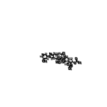 CCC(=O)OCC(=O)[C@@]1(OC(=O)CC)[C@H](C)C[C@H]2[C@H]3[C@H]([C@@H](O)C[C@@]21C)[C@@]1(C)Cc2cn(-c4cncc(O)c4)nc2C=C1C[C@H]3Cl